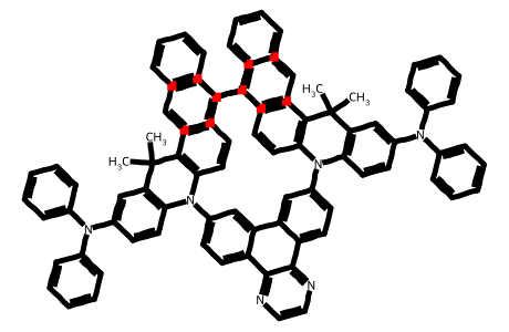 CC1(C)c2cc(N(c3ccccc3)c3ccccc3)ccc2N(c2ccc3c(c2)c2cc(N4c5ccc(N(c6ccccc6)c6ccccc6)cc5C(C)(C)c5cc(N(c6ccccc6)c6ccccc6)ccc54)ccc2c2nccnc32)c2ccc(N(c3ccccc3)c3ccccc3)cc21